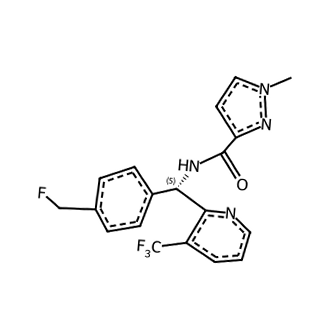 Cn1ccc(C(=O)N[C@@H](c2ccc(CF)cc2)c2ncccc2C(F)(F)F)n1